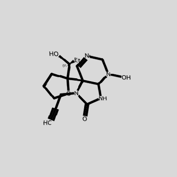 C#CCN1C(=O)NC2N(O)CN=CC21C1([C@@H](O)CC)CCCO1